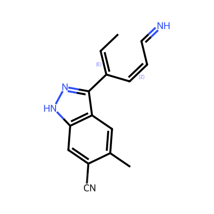 C/C=C(\C=C/C=N)c1n[nH]c2cc(C#N)c(C)cc12